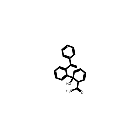 C=C(c1ccccc1)c1ccccc1C1(O)C=CC=CC1C(N)=O